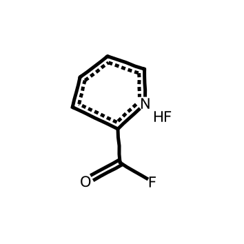 F.O=C(F)c1ccccn1